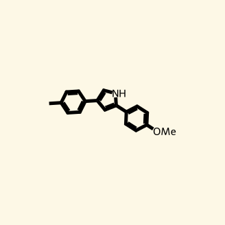 COc1ccc(-c2cc(-c3ccc(C)cc3)c[nH]2)cc1